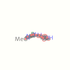 COc1ccc2nc(-c3ccc(-c4ccc(NCCOCCOc5ccc6c(c5)C(=O)N(C5CCC(=O)NC5=O)C6=O)nc4F)cc3)cn2c1